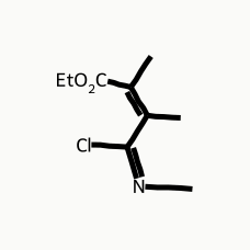 CCOC(=O)/C(C)=C(C)\C(Cl)=N/C